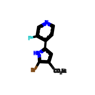 CCOC(=O)c1cc(-c2ccncc2F)[nH]c1Br